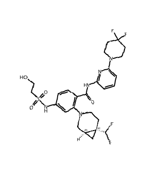 O=C(Nc1cccc(N2CCC(F)(F)CC2)n1)c1ccc(NS(=O)(=O)CCO)cc1N1CC[C@@]2(C(F)F)C[C@H]2C1